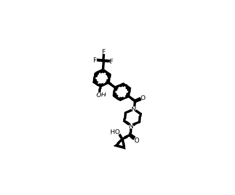 O=C(c1ccc(-c2cc(C(F)(F)F)ccc2O)cc1)N1CCN(C(=O)C2(O)CC2)CC1